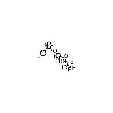 Cc1onc(-c2ccc(F)cc2)c1COc1cc(C(=O)NC[C@H](O)C(F)(F)F)n(C)n1